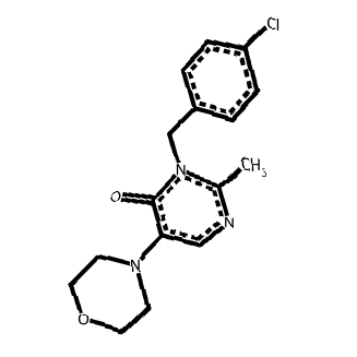 Cc1ncc(N2CCOCC2)c(=O)n1Cc1ccc(Cl)cc1